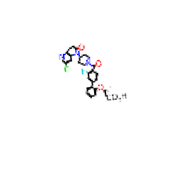 C[C@H](CC(=O)O)Oc1ccccc1-c1ccc(C(=O)N2CCC(N3C(=O)CCc4ncc(Cl)cc43)CC2)c(F)c1